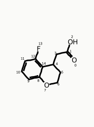 O=C(O)CC1CCOc2cccc(F)c21